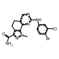 Cn1nc(C(N)=O)c2c1-c1nc(Nc3ccc(Br)c(Cl)c3)ncc1CC2